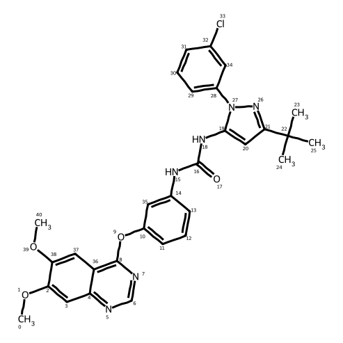 COc1cc2ncnc(Oc3cccc(NC(=O)Nc4cc(C(C)(C)C)nn4-c4cccc(Cl)c4)c3)c2cc1OC